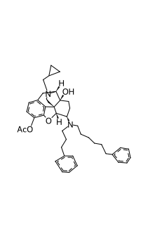 CC(=O)Oc1ccc2c3c1O[C@H]1[C@H](N(CCCCCCc4ccccc4)CCCc4ccccc4)CC[C@@]4(O)[C@@H](C2)N(CC2CC2)CC[C@]314